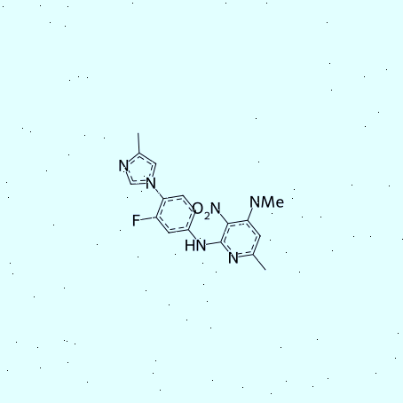 CNc1cc(C)nc(Nc2ccc(-n3cnc(C)c3)c(F)c2)c1[N+](=O)[O-]